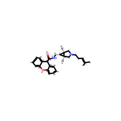 CC(C)=CCCN1C[C@@H]2[C@@H](CNC(=O)C3c4ccccc4Oc4ccccc43)[C@@H]2C1